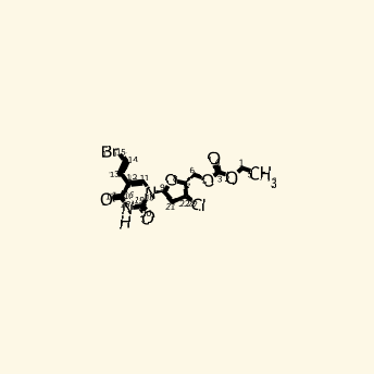 CCOC(=O)OC[C@@H]1O[C@H](n2cc(/C=C/Br)c(=O)[nH]c2=O)CC1Cl